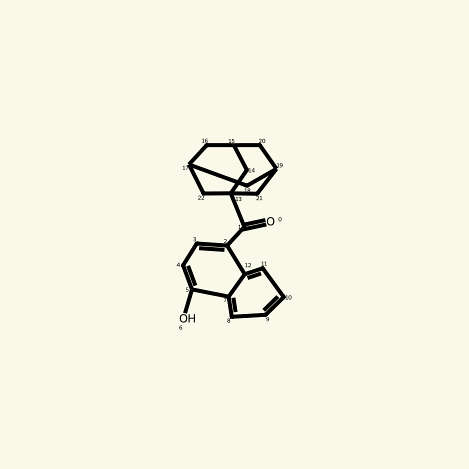 O=C(c1ccc(O)c2ccccc12)C12CC3CC(CC(C3)C1)C2